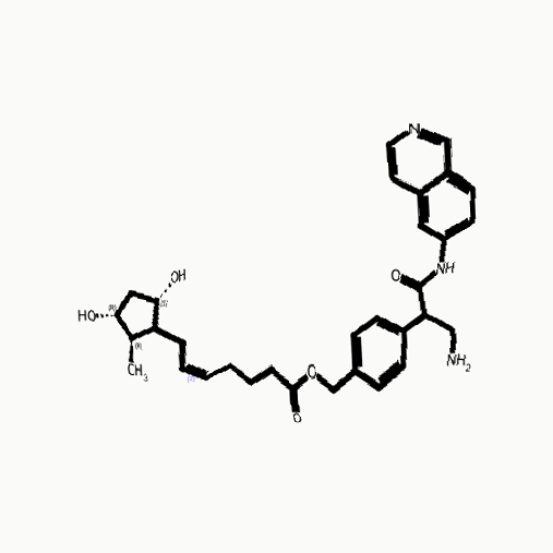 C[C@@H]1C(C/C=C\CCCC(=O)OCc2ccc(C(CN)C(=O)Nc3ccc4cnccc4c3)cc2)[C@@H](O)C[C@H]1O